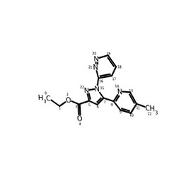 CCOC(=O)c1cc(-c2ccc(C)cn2)n(-c2cccnn2)n1